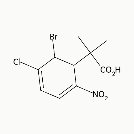 CC(C)(C(=O)O)C1C([N+](=O)[O-])=CC=C(Cl)C1Br